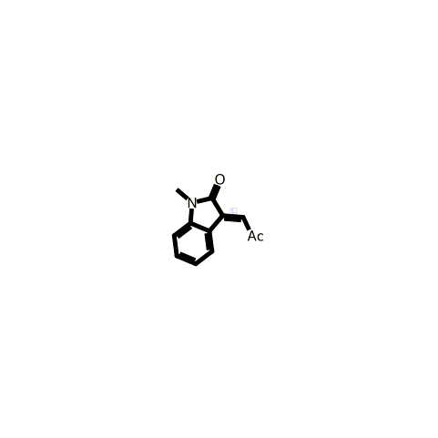 CC(=O)/C=C1/C(=O)N(C)c2ccccc21